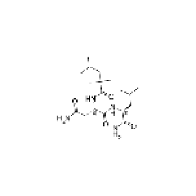 CC(C)C[C@H](NC(=O)[C@H](CC(N)=O)NC(=O)C(C)(C)CC(C)C)C(N)=O